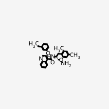 C=Cc1cccc(Oc2cnc3ccccc3c2C(=O)N[C@@H](CON)Cc2ccc(C)cc2C)c1